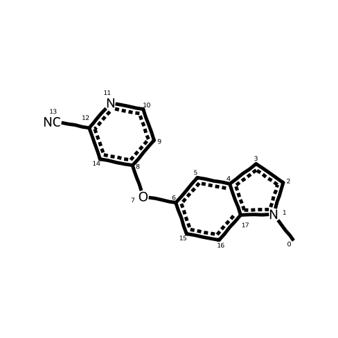 Cn1ccc2cc(Oc3ccnc(C#N)c3)ccc21